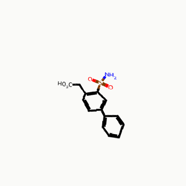 NS(=O)(=O)c1cc(-c2ccccc2)ccc1CC(=O)O